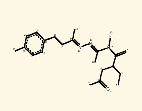 C=C(C(CC)CC(C)=O)N(F)/C(C)=N/N=C(\C)CCc1ccc(C)cc1